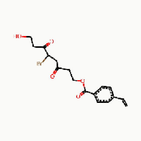 C=Cc1ccc(C(=O)OCCC(=O)CC(Br)C(=O)CCO)cc1